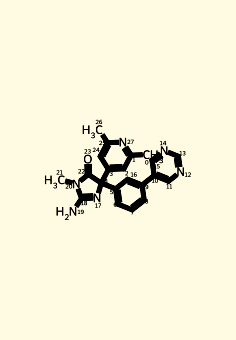 Cc1cc(C2(c3cccc(-c4cncnc4)c3)N=C(N)N(C)C2=O)cc(C)n1